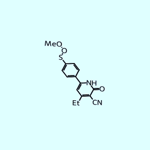 CCc1cc(-c2ccc(SOOC)cc2)[nH]c(=O)c1C#N